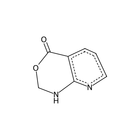 O=C1OCNc2ncccc21